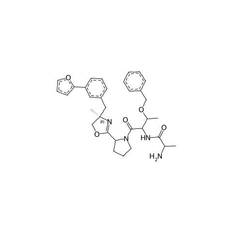 CC(N)C(=O)NC(C(=O)N1CCCC1C1=N[C@](C)(Cc2cccc(-c3ccco3)c2)CO1)C(C)OCc1ccccc1